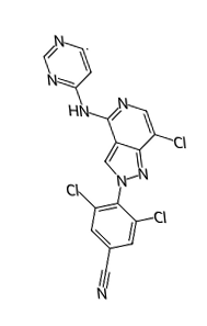 N#Cc1cc(Cl)c(-n2cc3c(Nc4c[c]ncn4)ncc(Cl)c3n2)c(Cl)c1